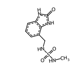 CNS(=O)(=O)NCc1cccc2[nH]c(=O)[nH]c12